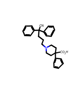 N#CC(CCCN1CCC(C(=O)O)(c2ccccc2)CC1)(c1ccccc1)c1ccccc1